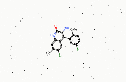 COc1ccc(Cl)cc1-c1c(N)c(=O)[nH]c2cc(C(F)(F)F)c(Cl)cc12